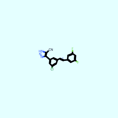 N#Cc1[nH]nnc1-c1cc(Cl)cc(/C=C/c2cc(F)cc(F)c2)c1